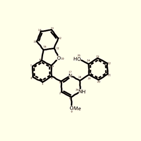 COC1=CC(c2cccc3c2OC2C=CC=CC32)=NC(c2ccccc2O)N1